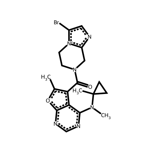 Cc1oc2ncnc(N(C)C3(C)CC3)c2c1C(=O)N1CCn2c(Br)cnc2C1